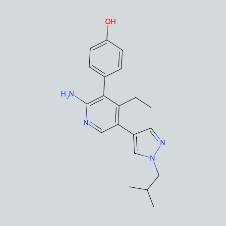 CCc1c(-c2cnn(CC(C)C)c2)cnc(N)c1-c1ccc(O)cc1